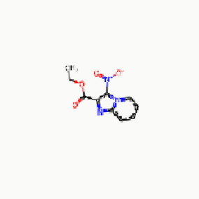 CCOC(=O)c1nc2ccccn2c1[N+](=O)[O-]